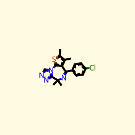 Cc1sc2c(c1C)C(c1ccc(Cl)cc1)=NC(C)(C)c1nncn1-2